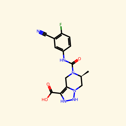 C[C@H]1CN2NNC(C(=O)O)=C2CN1C(=O)Nc1ccc(F)c(C#N)c1